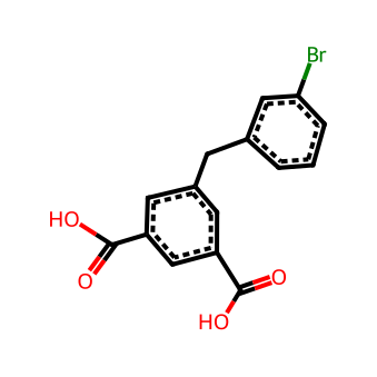 O=C(O)c1cc(Cc2cccc(Br)c2)cc(C(=O)O)c1